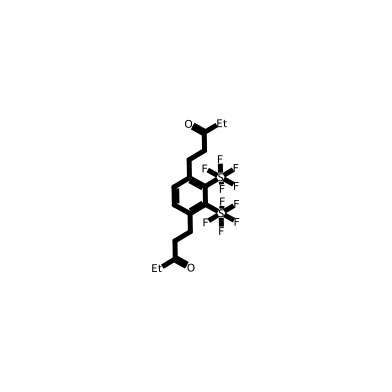 CCC(=O)CCc1ccc(CCC(=O)CC)c(S(F)(F)(F)(F)F)c1S(F)(F)(F)(F)F